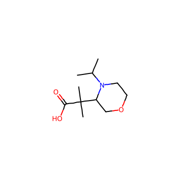 CC(C)N1CCOCC1C(C)(C)C(=O)O